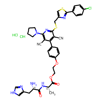 C[C@H](NC(=O)[C@@H](N)Cc1c[nH]cn1)C(=O)OCCOc1ccc(-c2c(C#N)c(SCc3csc(-c4ccc(Cl)cc4)n3)nc(N3CCCC3)c2C#N)cc1.Cl.Cl